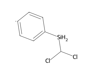 ClC(Cl)[SiH2]c1cc[c]cc1